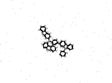 c1ccc(-n2c3ccccc3c3ccc(-c4ccc(N(c5ccc6c(c5)sc5ccccc56)c5cccc6oc7ccccc7c56)cc4)cc32)cc1